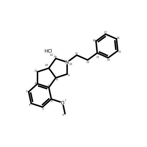 COc1cccc2c1C1CN(CCc3ccccc3)CC1C2.Cl